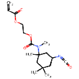 C=CC(=O)OCCOC(=O)N(C)C1(C)CC(N=C=O)CC(C)(C)C1